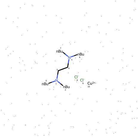 CCCCN(CCCC)CCN(CCCC)CCCC.[Cl-].[Cl-].[Cu+2]